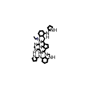 C/C=N\c1cccc(Nc2ccc[nH]2)c1Cc1nc2ncnc3nc(N4CNc5cccc(Nc6ccc[nH]6)c54)c4ccc1c4n23